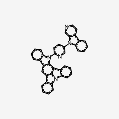 c1ccc2c(c1)c1ccncc1n2-c1ccc(-n2c3ccccc3c3cc4c5ccccc5n5c6ccccc6c(c32)c45)nc1